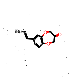 CCC(C)C=Cc1ccc2c(c1)OCC(=O)CO2